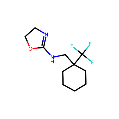 FC(F)(F)C1(CNC2=NCCO2)CCCCC1